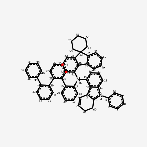 C1=Cc2c(n(-c3ccccc3)c3cccc(N(c4ccccc4-c4ccccc4-c4ccccc4-c4ccccc4)c4cccc5c4-c4ccccc4C54CCCCC4)c23)CC1